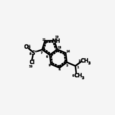 CC(C)c1ccc2c([S+]([O-])Cl)c[nH]c2c1